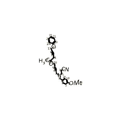 COc1ccc(CN(CC#CCO[C@@H](C)CC#CCOc2ccccc2)CCC#N)cc1